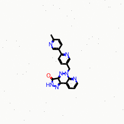 Cc1ccc(-c2ccc(Cn3nc4c(=O)[nH]nc-4c4cccnc43)cn2)cn1